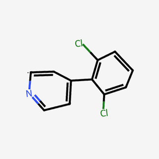 Clc1cccc(Cl)c1-c1c[c]ncc1